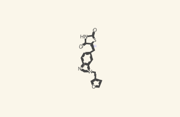 O=C1NC(=O)/C(=C\c2ccc3ncn(Cc4ccoc4)c3c2)S1